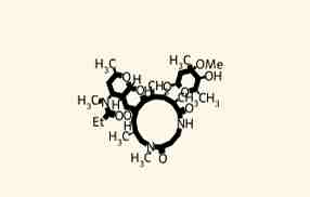 CCC(=O)N(C)[C@H]1C[C@@H](C)O[C@H]2O[C@@H]3[C@@H](C)[C@H](O[C@H]4C[C@@](C)(OC)[C@@H](O)[C@H](C)O4)[C@@H](C)C(=O)NCCC(=O)N(C)C[C@H](C)C[C@]3(O)C[C@@H]21